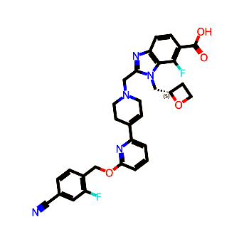 N#Cc1ccc(COc2cccc(C3=CCN(Cc4nc5ccc(C(=O)O)c(F)c5n4C[C@@H]4CCO4)CC3)n2)c(F)c1